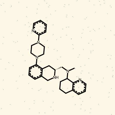 CN(C[C@H]1Cc2c(cccc2N2CCN(c3ccccn3)CC2)CN1)C1CCCc2cccnc21